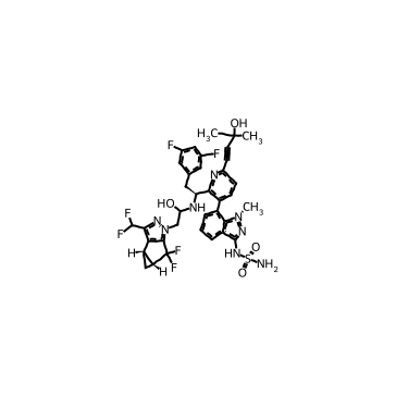 Cn1nc(NS(N)(=O)=O)c2cccc(-c3ccc(C#CC(C)(C)O)nc3[C@H](Cc3cc(F)cc(F)c3)NC(O)Cn3nc(C(F)F)c4c3C(F)(F)[C@@H]3C[C@H]43)c21